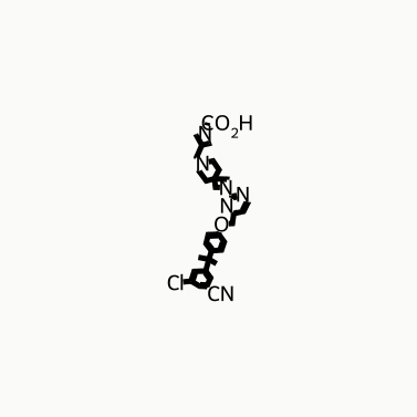 CC(C)(c1ccc(OCc2ccnc(N3CC4(CCN(CC5CN(C(=O)O)C5)CC4)C3)n2)cc1)c1cc(Cl)cc(C#N)c1